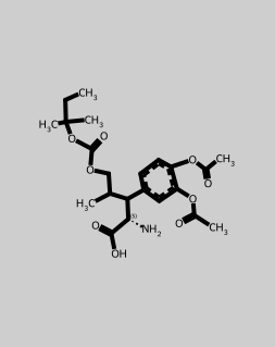 CCC(C)(C)OC(=O)OCC(C)C(c1ccc(OC(C)=O)c(OC(C)=O)c1)[C@H](N)C(=O)O